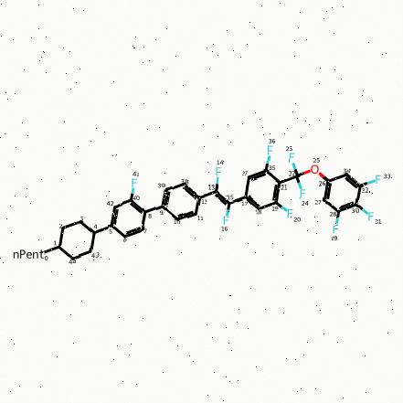 CCCCCC1CCC(c2ccc(-c3ccc(/C(F)=C(\F)c4cc(F)c(C(F)(F)Oc5cc(F)c(F)c(F)c5)c(F)c4)cc3)c(F)c2)CC1